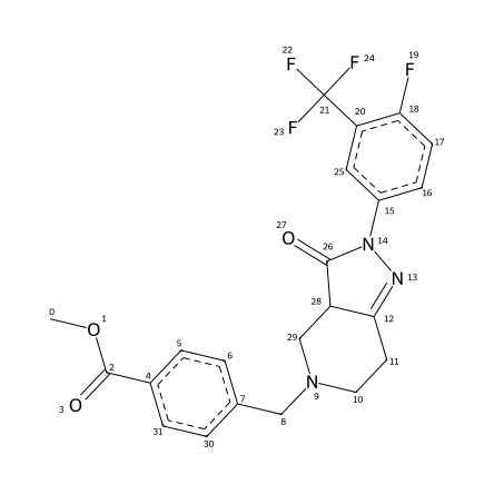 COC(=O)c1ccc(CN2CCC3=NN(c4ccc(F)c(C(F)(F)F)c4)C(=O)C3C2)cc1